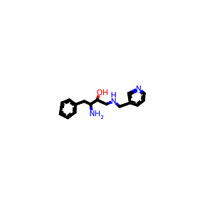 NC(Cc1ccccc1)C(O)CNCc1cccnc1